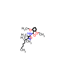 CCCCCCC(C)(C)c1noc(NC(=O)c2c(OCC)cccc2OCC)c1C